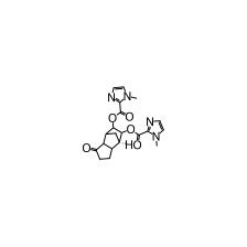 Cn1ccnc1C(=O)OC1C2C[C@H](C3CCC(=O)C23)C1OC(=O)c1nccn1C